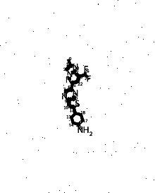 Cc1cn2nc(-c3cnc4cc(C5CCC(N)CC5)sc4n3)cc(C(F)F)c2n1